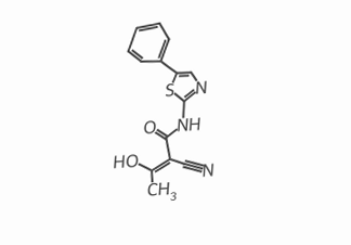 C/C(O)=C(\C#N)C(=O)Nc1ncc(-c2ccccc2)s1